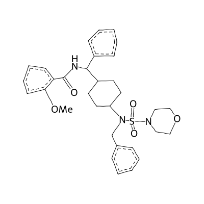 COc1ccccc1C(=O)NC(c1ccccc1)C1CCC(N(Cc2ccccc2)S(=O)(=O)N2CCOCC2)CC1